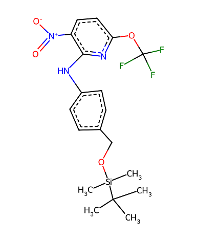 CC(C)(C)[Si](C)(C)OCc1ccc(Nc2nc(OC(F)(F)F)ccc2[N+](=O)[O-])cc1